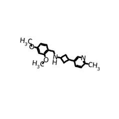 COc1ccc(CNC2CC(c3ccc(C)nc3)C2)c(OC)c1